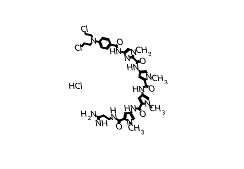 Cl.Cn1cc(NC(=O)c2cc(NC(=O)c3cc(NC(=O)c4nc(NC(=O)c5ccc(N(CCCl)CCCl)cc5)cn4C)cn3C)cn2C)cc1C(=O)NCCC(=N)N